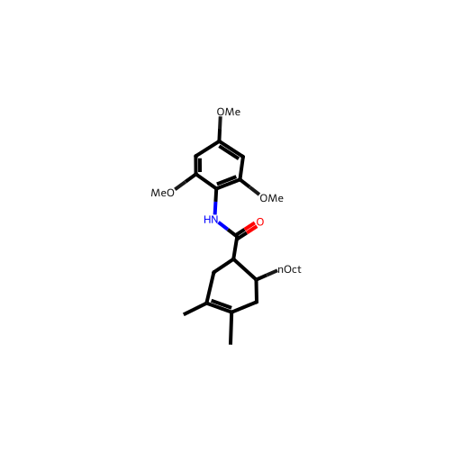 CCCCCCCCC1CC(C)=C(C)CC1C(=O)Nc1c(OC)cc(OC)cc1OC